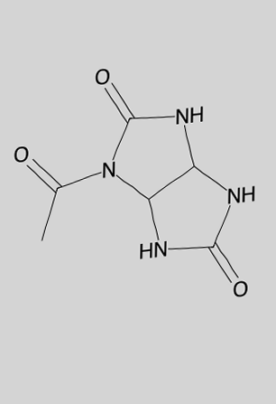 CC(=O)N1C(=O)NC2NC(=O)NC21